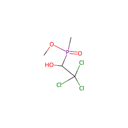 COP(C)(=O)C(O)C(Cl)(Cl)Cl